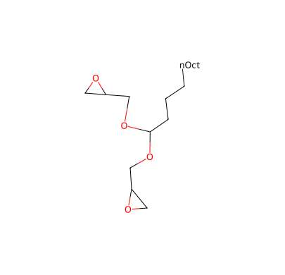 CCCCCCCCCCCC(OCC1CO1)OCC1CO1